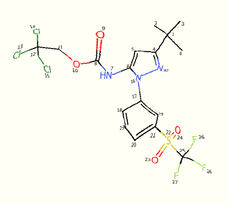 CC(C)(C)c1cc(NC(=O)OCC(Cl)(Cl)Cl)n(-c2cccc(S(=O)(=O)C(F)(F)F)c2)n1